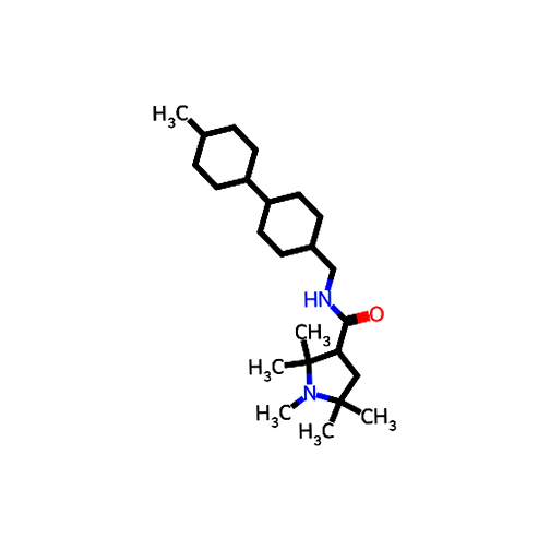 CC1CCC(C2CCC(CNC(=O)C3CC(C)(C)N(C)C3(C)C)CC2)CC1